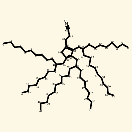 CCCCCCCCCCC(CCCCCCCC)CC1=C(CC(CCCCCCCC)CCCCCCCCCC)C(CC(CCCCCCCC)CCCCCCCCCC)=C(CCC#N)C1